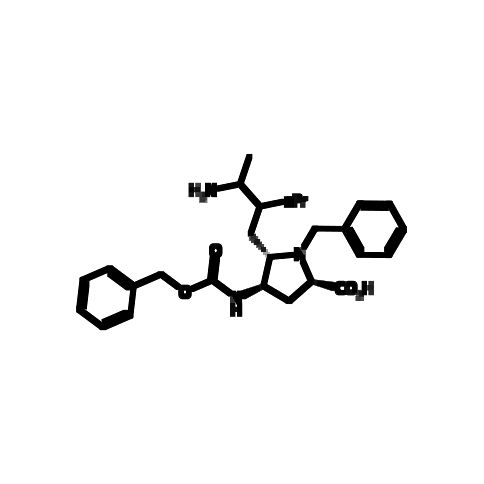 CCCC(C[C@H]1[C@H](NC(=O)OCc2ccccc2)C[C@H](C(=O)O)N1Cc1ccccc1)C(C)N